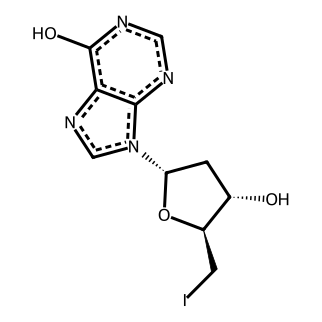 Oc1ncnc2c1ncn2[C@@H]1C[C@H](O)[C@@H](CI)O1